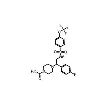 O=C(O)N1CCN(C(CNS(=O)(=O)c2ccc(OC(F)(F)F)cc2)c2ccc(F)cc2)CC1